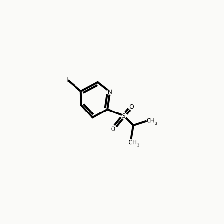 CC(C)S(=O)(=O)c1ccc(I)cn1